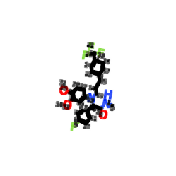 CNC(=O)[C@H](c1ccc(F)cc1)N(CCCc1ccc(C(F)(F)F)cc1)c1ccc(OC)c(OC)c1